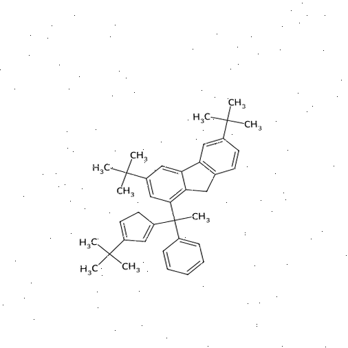 CC(C)(C)C1=CCC(C(C)(c2ccccc2)c2cc(C(C)(C)C)cc3c2Cc2ccc(C(C)(C)C)cc2-3)=C1